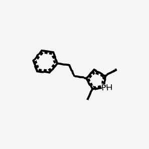 Cc1cc(CCc2ccccc2)c(C)[pH]1